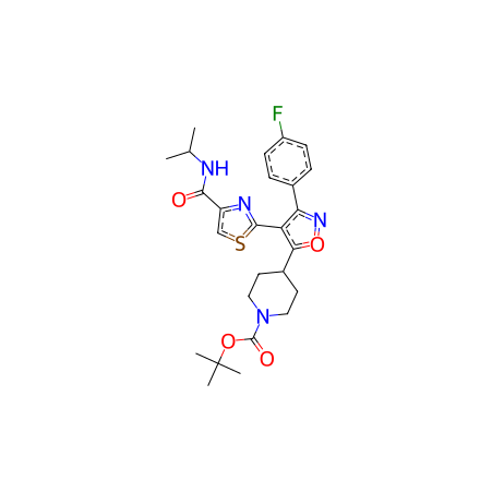 CC(C)NC(=O)c1csc(-c2c(-c3ccc(F)cc3)noc2C2CCN(C(=O)OC(C)(C)C)CC2)n1